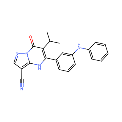 CC(C)c1c(-c2cccc(Nc3ccccc3)c2)[nH]c2c(C#N)cnn2c1=O